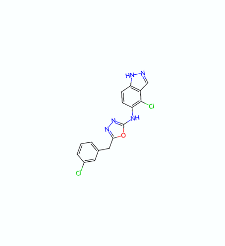 Clc1cccc(Cc2nnc(Nc3ccc4[nH]ncc4c3Cl)o2)c1